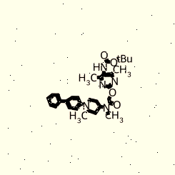 Cc1nc(OCC(=O)N(C)C2CCN(c3ccc(-c4ccccc4)cc3)C(C)C2)nc(C)c1NC(=O)OC(C)(C)C